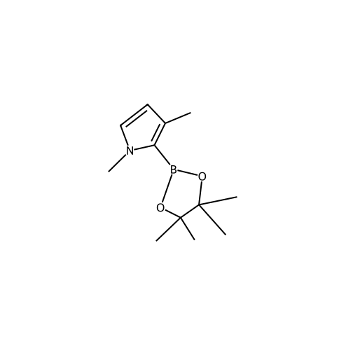 Cc1ccn(C)c1B1OC(C)(C)C(C)(C)O1